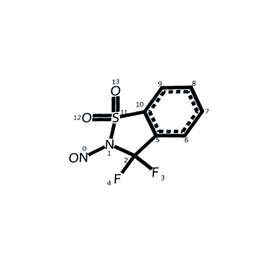 O=NN1C(F)(F)c2ccccc2S1(=O)=O